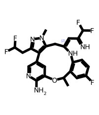 CC1Oc2cc(cnc2N)-c2c(CC(F)F)nn(C)c2C/C(=C/C(=N)C(F)F)Nc2ccc(F)cc21